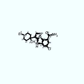 CCN1CCC(C)(c2cnn3c2[nH]c2cc(Cl)cc(C(N)=O)c23)CC1